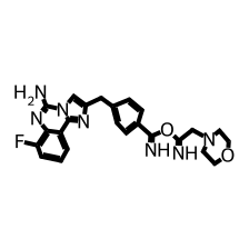 N=C(CN1CCOCC1)OC(=N)c1ccc(Cc2cn3c(N)nc4c(F)cccc4c3n2)cc1